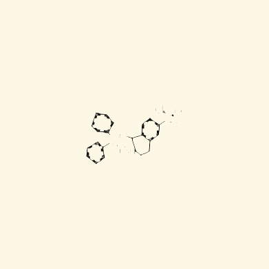 CC(C)(C)[Si](OC1CCCc2cc(S(=O)(=O)Cl)ccc21)(c1ccccc1)c1ccccc1